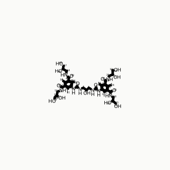 O=C(NCC(O)CNC(=O)Nc1c(I)c(C(=O)NCC(O)CO)c(I)c(C(=O)NCC(O)CO)c1I)Nc1c(I)c(C(=O)NCC(O)CO)c(I)c(C(=O)NCC(O)CO)c1I